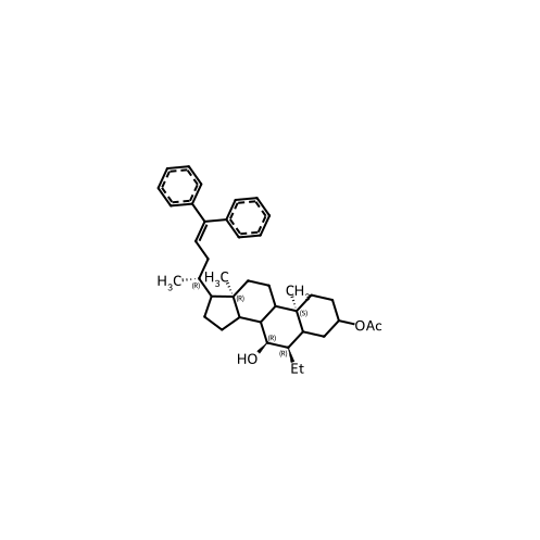 CC[C@@H]1C2CC(OC(C)=O)CC[C@]2(C)C2CC[C@@]3(C)C(CCC3[C@H](C)CC=C(c3ccccc3)c3ccccc3)C2[C@@H]1O